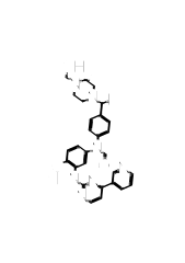 CCN1CCN(C(F)c2ccc(N(C=O)c3ccc(C)c(Nc4nccc(-c5cccnc5)n4)c3)cc2)CC1